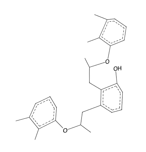 Cc1cccc(OC(C)Cc2cccc(O)c2CC(C)Oc2cccc(C)c2C)c1C